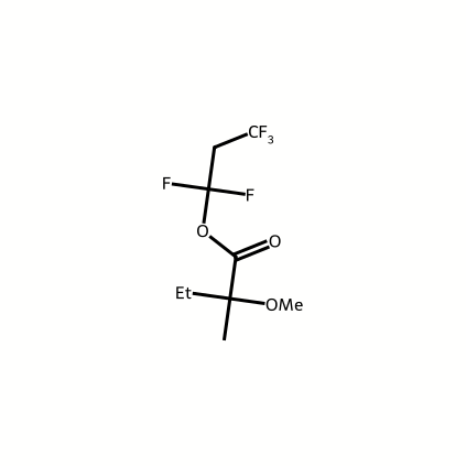 CCC(C)(OC)C(=O)OC(F)(F)CC(F)(F)F